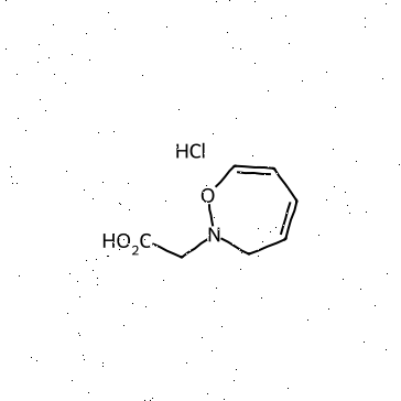 Cl.O=C(O)CN1CC=CC=CO1